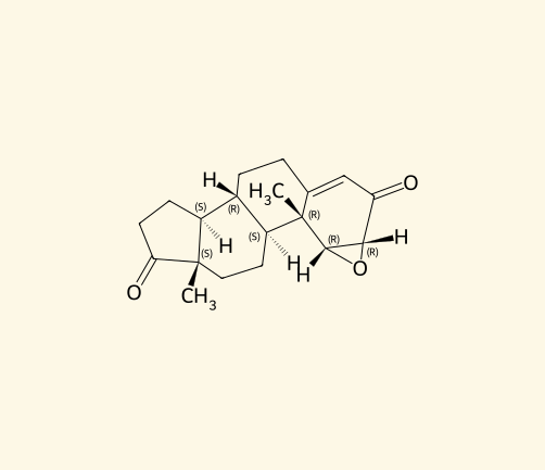 C[C@@]12C(=CC(=O)[C@@H]3O[C@@H]31)CC[C@@H]1[C@@H]2CC[C@]2(C)C(=O)CC[C@@H]12